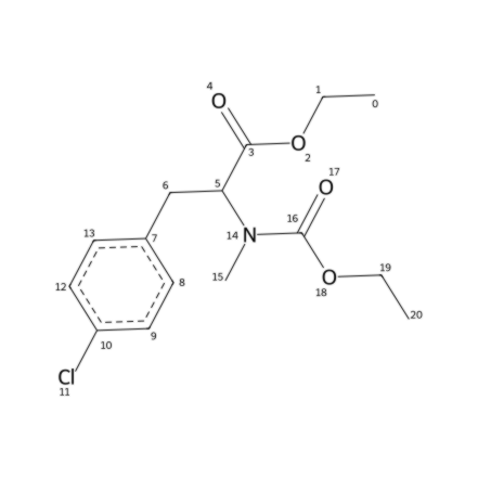 CCOC(=O)C(Cc1ccc(Cl)cc1)N(C)C(=O)OCC